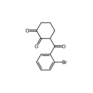 O=C1CCCC(C(=O)c2ccccc2Br)C1=O